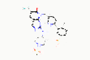 Cc1ccc(S(=O)(=O)Cl)cc1-c1ccc(Cn2c(=O)c(C(F)F)cc3cnc(NC4CCN(S(C)(=O)=O)CC4)nc32)cn1